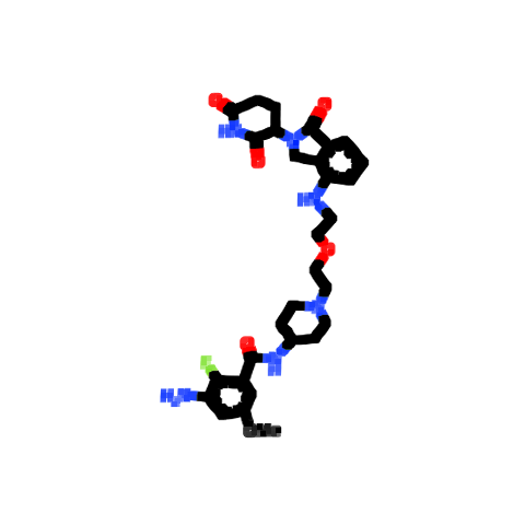 COc1cc(N)c(F)c(C(=O)NC2CCN(CCOCCNc3cccc4c3CN(C3CCC(=O)NC3=O)C4=O)CC2)c1